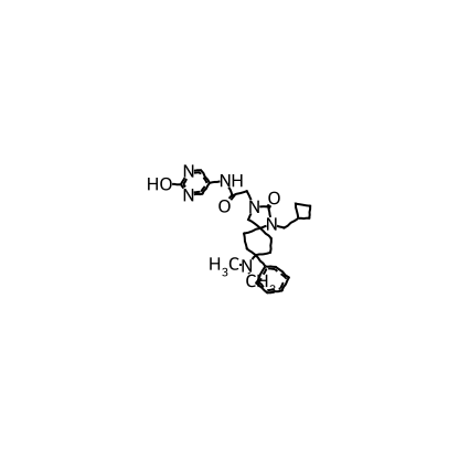 CN(C)C1(c2ccccc2)CCC2(CC1)CN(CC(=O)Nc1cnc(O)nc1)C(=O)N2CC1CCC1